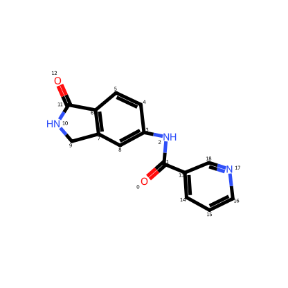 O=C(Nc1ccc2c(c1)CNC2=O)c1cccnc1